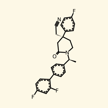 C[C@@H](c1ccc(-c2ccc(F)cc2F)cc1)N1CC[C@](CC#N)(c2ccc(F)cc2)CC1=O